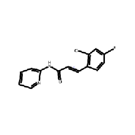 O=C(/C=C/c1ccc(F)cc1Cl)Nc1ccccn1